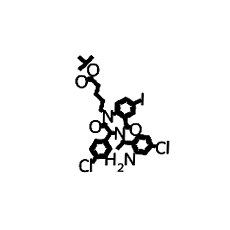 CC(c1ccc(Cl)cc1N)N1C(=O)c2cc(I)ccc2N(CCCCC(=O)OC(C)(C)C)C(=O)C1c1ccc(Cl)cc1